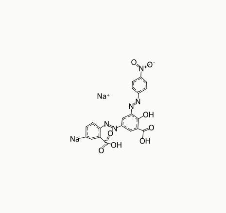 O=C(O)c1cc(N=Nc2cc[c]([Na])cc2S(=O)(=O)O)cc(N=Nc2ccc([N+](=O)[O-])cc2)c1O.[Na+]